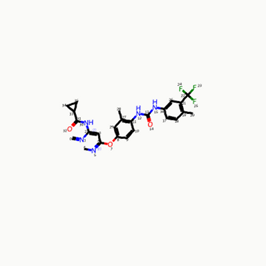 C=N/C(=C\C(=N/C)Oc1ccc(NC(=O)Nc2ccc(C)c(C(F)(F)F)c2)c(C)c1)NC(=O)C1CC1